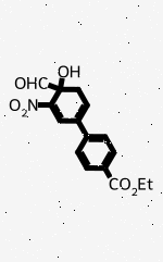 CCOC(=O)c1ccc(C2=CCC(O)(C=O)C([N+](=O)[O-])=C2)cc1